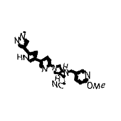 COc1ccc(CN2[C@H](CC#N)[C@@H]3CN(c4ccc(-c5c[nH]c(-c6cnn(C)c6)c5)cn4)C[C@@H]32)cn1